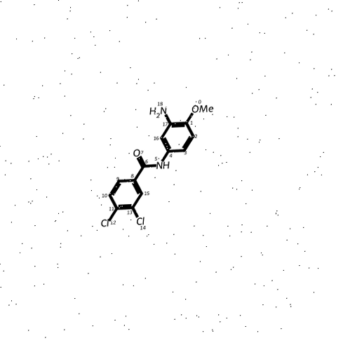 COc1ccc(NC(=O)c2ccc(Cl)c(Cl)c2)cc1N